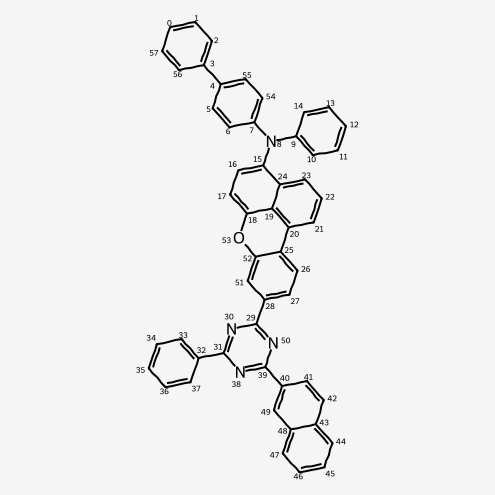 c1ccc(-c2ccc(N(c3ccccc3)c3ccc4c5c(cccc35)-c3ccc(-c5nc(-c6ccccc6)nc(-c6ccc7ccccc7c6)n5)cc3O4)cc2)cc1